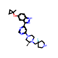 C[C@H]1CN(c2cc(-c3n[nH]c4ccc(OC5(C)CC5)cc34)ncn2)CCN1CC1(F)CCNCC1